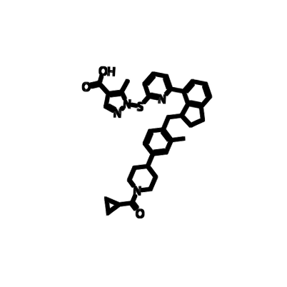 Cc1cc(C2CCN(C(=O)C3CC3)CC2)ccc1CC1CCc2cccc(-c3cccc(Sn4ncc(C(=O)O)c4C)n3)c21